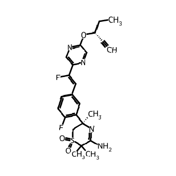 C#C[C@@H](CC)Oc1cnc(/C(F)=C/c2ccc(F)c([C@]3(C)CS(=O)(=O)C(C)(C)C(N)=N3)c2)cn1